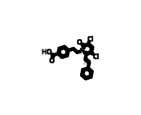 O=C(O)c1ccc(CCn2c(/C=C/c3ccccc3)c(Cl)cc(Cl)c2=O)cc1